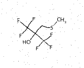 CSCC(O)(C(F)(F)F)C(F)(F)F